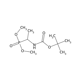 COP(=O)(OC)C(C)NC(=O)OC(C)(C)C